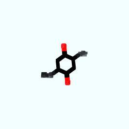 CCCC1CC(=O)C(SC)CC1=O